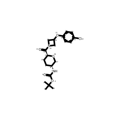 CC(C)(C)OC(=O)N[C@@H]1CC[C@@H](C(=O)N2CC(Oc3ccc(Cl)cc3)C2)OC1